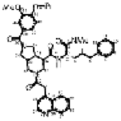 CNC(=O)[C@H](CCCc1ccccc1)NC(=O)C1CN(C(=O)Cc2ccnc3ccccc23)CC2CN(C(=O)c3ccc(OC(C)C)c(OC)c3)CC21